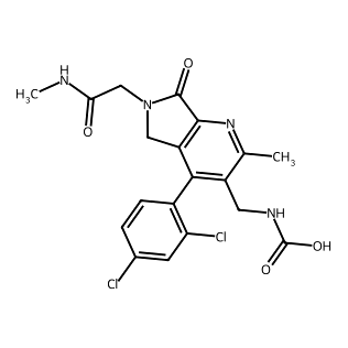 CNC(=O)CN1Cc2c(nc(C)c(CNC(=O)O)c2-c2ccc(Cl)cc2Cl)C1=O